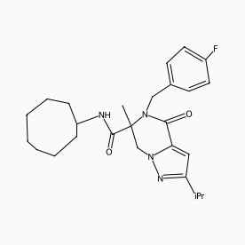 CC(C)c1cc2n(n1)CC(C)(C(=O)NC1CCCCCCC1)N(Cc1ccc(F)cc1)C2=O